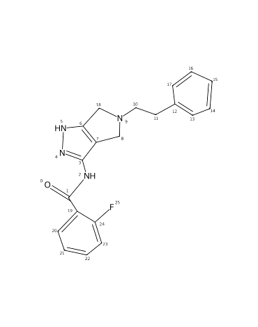 O=C(Nc1n[nH]c2c1CN(CCc1ccccc1)C2)c1ccccc1F